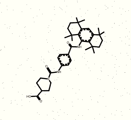 CC1(C)CCC(C)(C)c2c1cc1c(c2NC(=O)c2ccc(NC(=O)N3CCC(C(=O)O)CC3)cc2)C(C)(C)CCC1(C)C